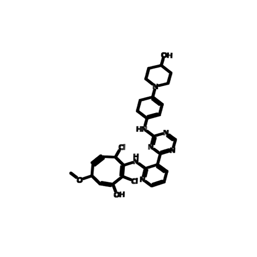 COC1C#CC(Cl)/C(Nc2ncccc2-c2ncnc(NC3=CC=C(N4CCC(O)CC4)CC3)n2)=C(Cl)\C(O)=C/1